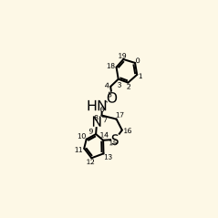 c1ccc(CONC2=Nc3ccccc3SCC2)cc1